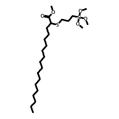 CCCCCCCCCCCCCCCCC(SCCC[Si](OC)(OC)OC)C(=O)OC